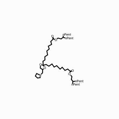 CCCCCC(CCCCC)CCOC(=O)CCCCCCCCCC1(CCCCCCCCCC(=O)OCCC(CCCCC)CCCCC)OCC(CN2CCCC2)O1